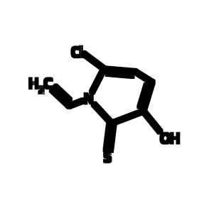 C=Cn1c(Cl)ccc(O)c1=S